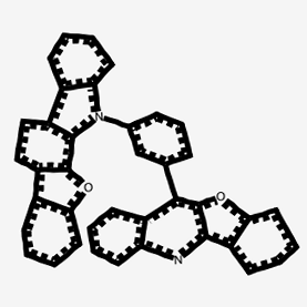 c1cc(-c2c3ccccc3nc3c2oc2ccccc23)cc(-n2c3ccccc3c3ccc4c5ccccc5oc4c32)c1